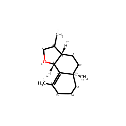 CC1=C2[C@@H]3OCC(C)[C@@H]3CC[C@@]2(C)CCC1